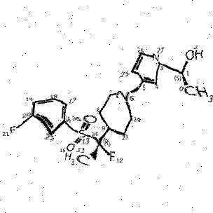 C[C@H](O)c1cc(N2CCC([C@](C)(F)S(=O)(=O)c3cccc(F)c3)CC2)ccn1